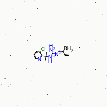 B/C(C=C)=C/N=C(\N)NC(C)(C)c1ncccc1Cl